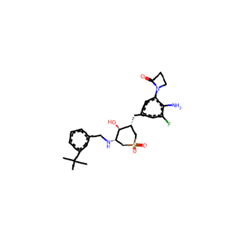 CC(C)(C)c1cccc(CN[C@H]2CS(=O)(=O)C[C@@H](Cc3cc(F)c(N)c(N4CCC4=O)c3)[C@@H]2O)c1